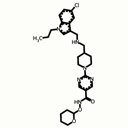 CCCn1cc(CNCC2CCN(c3ncc(C(=O)NOC4CCCCO4)cn3)CC2)c2cc(Cl)ccc21